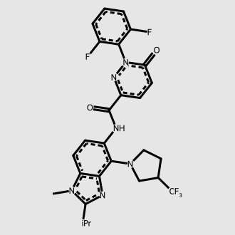 CC(C)c1nc2c(N3CCC(C(F)(F)F)C3)c(NC(=O)c3ccc(=O)n(-c4c(F)cccc4F)n3)ccc2n1C